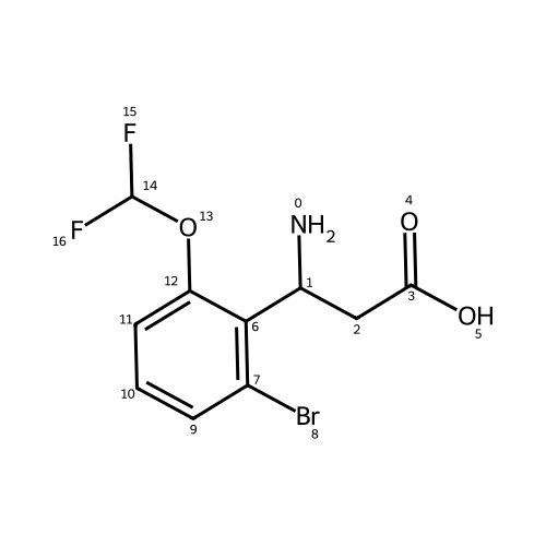 NC(CC(=O)O)c1c(Br)cccc1OC(F)F